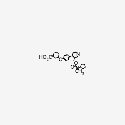 CN(C(=O)OCc1cnccc1-c1ccc(OC2CCC[C@H](C(=O)O)C2)cc1)C1CCCC1